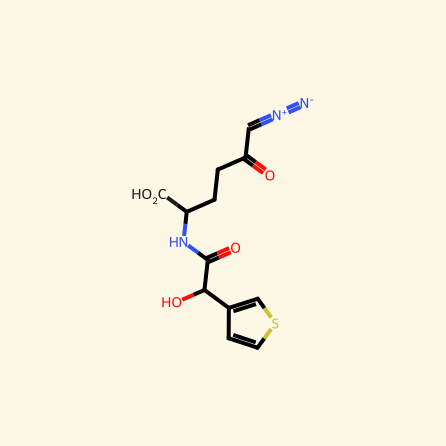 [N-]=[N+]=CC(=O)CCC(NC(=O)C(O)c1ccsc1)C(=O)O